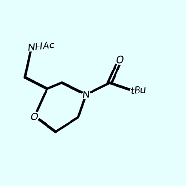 CC(=O)NCC1CN(C(=O)C(C)(C)C)CCO1